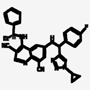 CC[C@@H](Nc1c(C#N)cnc2c(C#N)cc(NC(c3ccc(F)cc3)c3cn(C4CC4)nn3)cc12)c1ccccc1